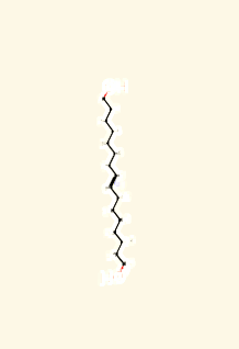 OCCCCCCC/C=C/CCCCCCCO